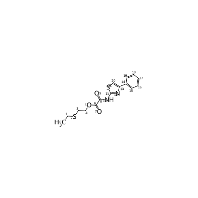 CCSCCOC(=O)C(=O)Nc1nc(-c2ccccc2)cs1